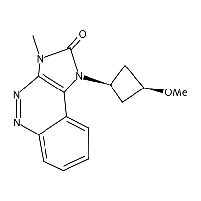 CO[C@H]1C[C@@H](n2c(=O)n(C)c3nnc4ccccc4c32)C1